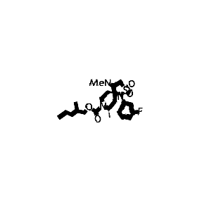 C=C/C=C(\C)COC(=O)N1CC[C@@]2(C[C@@H]1C)C(NC)=CS(=O)(=O)N2c1cccc(F)c1